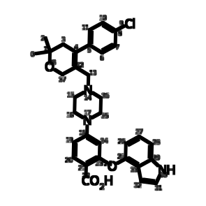 CC1(C)CC(c2ccc(Cl)cc2)=C(CN2CCN(c3ccc(C(=O)O)c(Oc4cccc5[nH]ccc45)c3)CC2)CO1